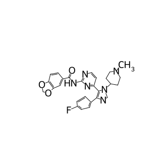 CN1CCC(n2cnc(-c3ccc(F)cc3)c2-c2ccnc(NC(=O)c3ccc4c(c3)OCO4)n2)CC1